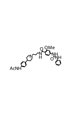 COc1cc(NC(=O)Nc2ccccc2)ccc1C(=O)NCCCN1CCC(c2ccc(NC(C)=O)cc2)CC1